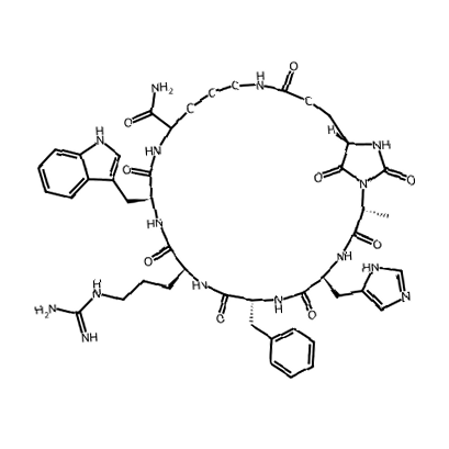 C[C@@H]1C(=O)N[C@@H](Cc2cnc[nH]2)C(=O)N[C@H](Cc2ccccc2)C(=O)N[C@@H](CCCNC(=N)N)C(=O)N[C@@H](Cc2c[nH]c3ccccc23)C(=O)NC(C(N)=O)CCCNC(=O)CC[C@@H]2NC(=O)N1C2=O